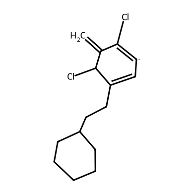 C=C1C(Cl)=[C]C=C(CCC2CCCCC2)C1Cl